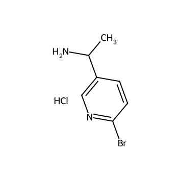 CC(N)c1ccc(Br)nc1.Cl